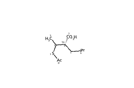 CC(=O)SC(C)[C@@H](CC(C)C)C(=O)O